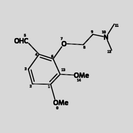 COc1ccc(C=O)c(OCCN(C)C)c1OC